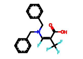 O=C(O)/C(=C(/F)N(Cc1ccccc1)Cc1ccccc1)C(F)(F)F